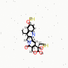 CCc1c2c(nc3ccc(OS)cc13)-c1cc3c(c(=O)n1C2)COC(=O)[C@@]3(CC)OS